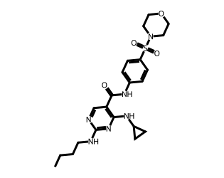 CCCCNc1ncc(C(=O)Nc2ccc(S(=O)(=O)N3CCOCC3)cc2)c(NC2CC2)n1